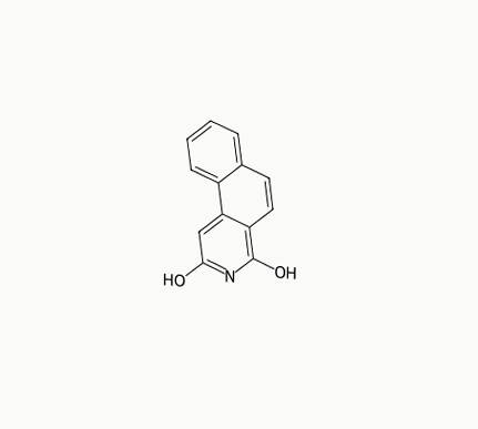 Oc1cc2c(ccc3ccccc32)c(O)n1